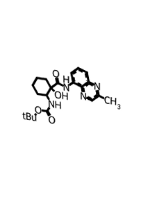 Cc1cnc2c(NC(=O)C3(O)CCCCC3NC(=O)OC(C)(C)C)cccc2n1